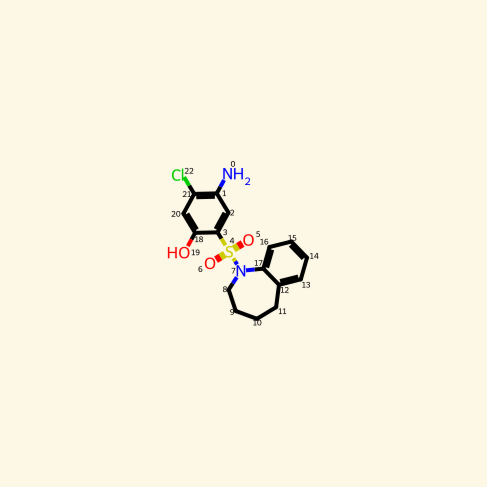 Nc1cc(S(=O)(=O)N2CCCCc3ccccc32)c(O)cc1Cl